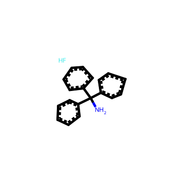 F.NC(c1ccccc1)(c1ccccc1)c1ccccc1